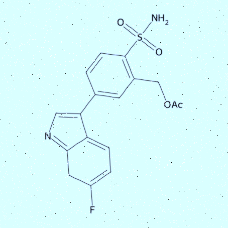 CC(=O)OCc1cc(C2=CN=C3CC(F)=CC=C23)ccc1S(N)(=O)=O